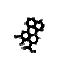 O=C(O)C1CCN(c2ncnc3cccc(-c4ccc(Cl)c(Cl)c4)c23)CC1